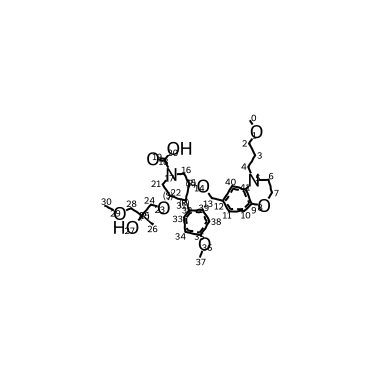 COCCCN1CCOc2ccc(CO[C@H]3CN(C(=O)O)C[C@@H](OC[C@](C)(O)COC)[C@@H]3c3ccc(OC)cc3)cc21